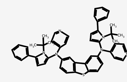 CC(C)(C)n1c(-c2ccccc2)ccc1N(c1ccncc1)c1ccc2sc3ccc(N(c4ccncc4)c4ccc(-c5ccccc5)n4C(C)(C)C)cc3c2c1